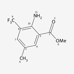 COC(=O)c1cc(C)cc(C(F)(F)F)c1N